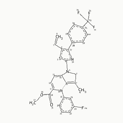 C=Cc1sc(N2CC(C)=C3C2=CC=C(C(=O)OC)N3c2cccc(F)c2)nc1-c1ccc(C(F)(F)F)cc1